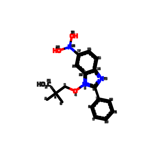 CC(C)(COn1c(-c2ccccc2)nc2ccc(N(O)O)cc21)C(=O)O